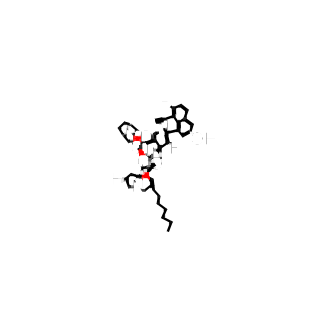 C#Cc1c(F)ccc2cc(O)cc(-c3ncc4c(N5CC6CCC(C5)N6C(=O)OCOC(=O)CCCCCCCCC)nc(OC[C@@]56CCCN5C[C@H](F)C6)nc4c3F)c12